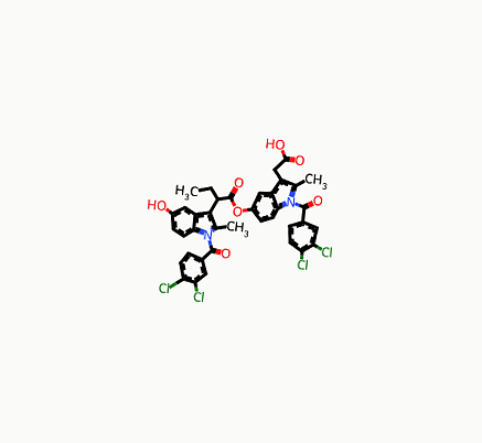 CCC(C(=O)Oc1ccc2c(c1)c(CC(=O)O)c(C)n2C(=O)c1ccc(Cl)c(Cl)c1)c1c(C)n(C(=O)c2ccc(Cl)c(Cl)c2)c2ccc(O)cc12